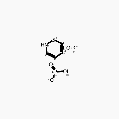 C1=CNSC=C1.O.O=[PH]([O-])O.[K+]